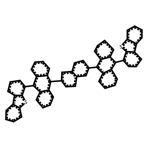 c1ccc2c(c1)sc1c(-c3c4ccccc4c(-c4ccc5cc(-c6c7ccccc7c(-c7cccc8c7sc7ccccc78)c7ccccc67)ccc5c4)c4ccccc34)cccc12